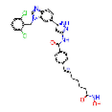 O=C(CCCC/C=C/c1ccc(C(=O)Nc2cc(-c3ccc4ncn(Cc5c(Cl)cccc5Cl)c4c3)[nH]n2)cc1)NO